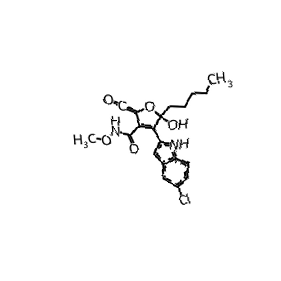 CCCCCC1(O)OC(=C=O)C(C(=O)NOC)=C1c1cc2cc(Cl)ccc2[nH]1